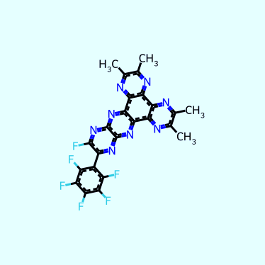 Cc1nc2c3nc(C)c(C)nc3c3nc4nc(-c5c(F)c(F)c(F)c(F)c5F)c(F)nc4nc3c2nc1C